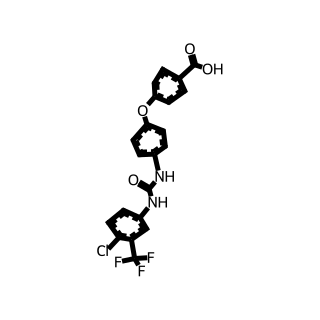 O=C(Nc1ccc(Oc2ccc(C(=O)O)cc2)cc1)Nc1ccc(Cl)c(C(F)(F)F)c1